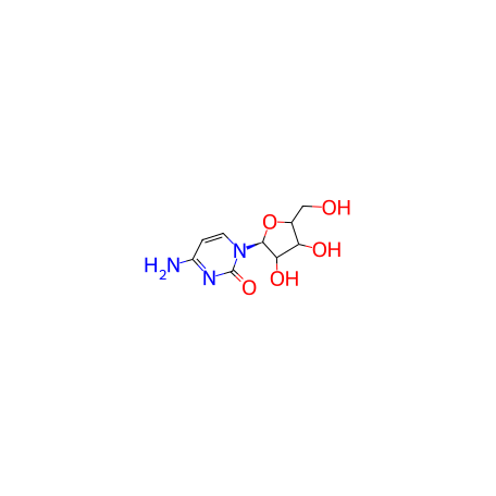 Nc1ccn([C@H]2OC(CO)C(O)C2O)c(=O)n1